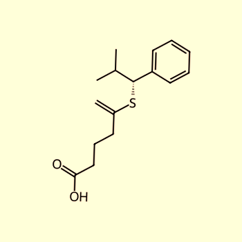 C=C(CCCC(=O)O)S[C@@H](c1ccccc1)C(C)C